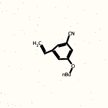 C=[C]c1cc(C#N)cc(OCCCC)c1